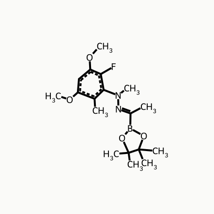 COc1cc(OC)c(F)c(N(C)/N=C(\C)B2OC(C)(C)C(C)(C)O2)c1C